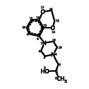 CC(O)CN1CCN(c2cccc3c2OCCO3)CC1